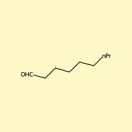 CCCCCC[CH]CC=O